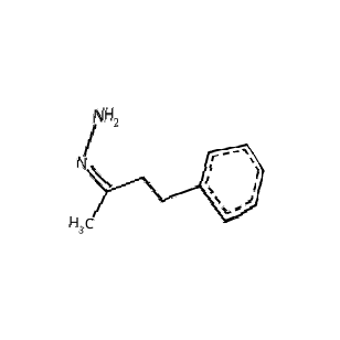 C/C(CCc1ccccc1)=N/N